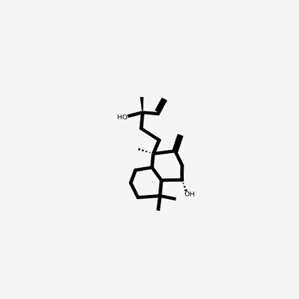 C=C[C@@](C)(O)CC[C@@]1(C)C(=C)C[C@H](O)C2C1CCCC2(C)C